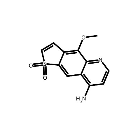 COc1c2c(cc3c(N)ccnc13)S(=O)(=O)C=C2